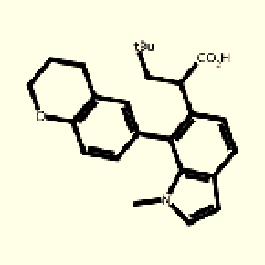 Cn1ccc2ccc(C(CC(C)(C)C)C(=O)O)c(-c3ccc4c(c3)CCCO4)c21